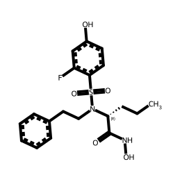 CCC[C@H](C(=O)NO)N(CCc1ccccc1)S(=O)(=O)c1ccc(O)cc1F